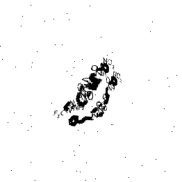 O=C(NCc1ccc(S(=O)(=O)N2CCC(Nc3nccc(C(F)(F)F)n3)CC2)s1)c1cccc([N+](=O)[O-])c1.O=C(NCc1ccc(S(=O)(=O)N2CCN(CCCc3ccccc3)CC2)s1)c1cccc([N+](=O)[O-])c1